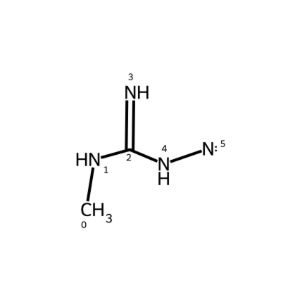 CNC(=N)N[N]